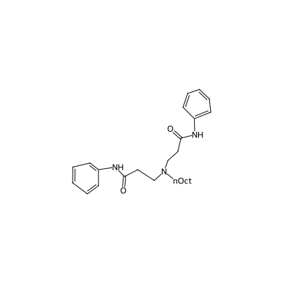 CCCCCCCCN(CCC(=O)Nc1ccccc1)CCC(=O)Nc1ccccc1